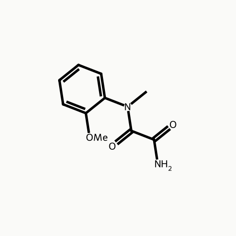 COc1ccccc1N(C)C(=O)C(N)=O